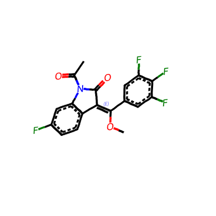 CO/C(=C1/C(=O)N(C(C)=O)c2cc(F)ccc21)c1cc(F)c(F)c(F)c1